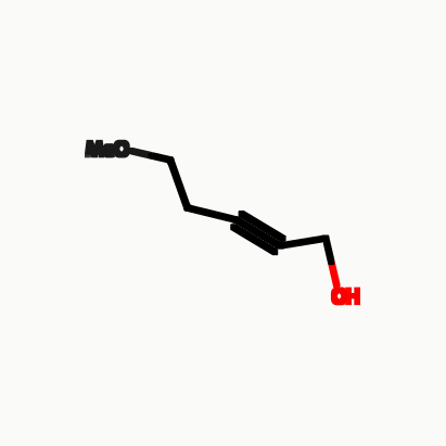 COCCC#CCO